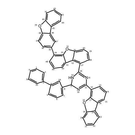 c1ccc(-c2cccc(C3N=C(c4cccc5c4oc4ccccc45)N=C(c4cccc5oc6c(-c7ccc8oc9ccccc9c8c7)cccc6c45)N3)c2)cc1